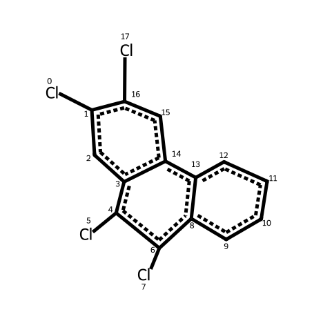 Clc1cc2c(Cl)c(Cl)c3ccccc3c2cc1Cl